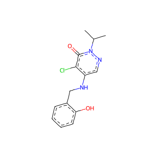 CC(C)n1ncc(NCc2ccccc2O)c(Cl)c1=O